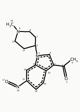 CC(=O)c1cn(C2CCN(C)CC2)c2cc(N=O)ccc12